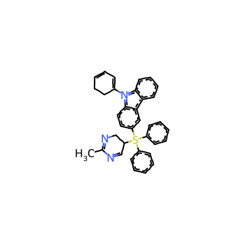 CC1=NCC(S(c2ccccc2)(c2ccccc2)c2ccc3c(c2)c2ccccc2n3C2=CC=CCC2)C=N1